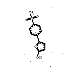 CS(=O)(=O)c1ccc(-c2ccc(C=O)o2)cc1